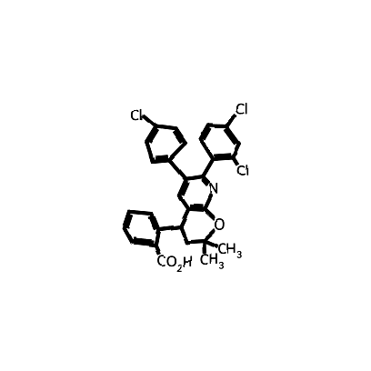 CC1(C)CC(c2ccccc2C(=O)O)c2cc(-c3ccc(Cl)cc3)c(-c3ccc(Cl)cc3Cl)nc2O1